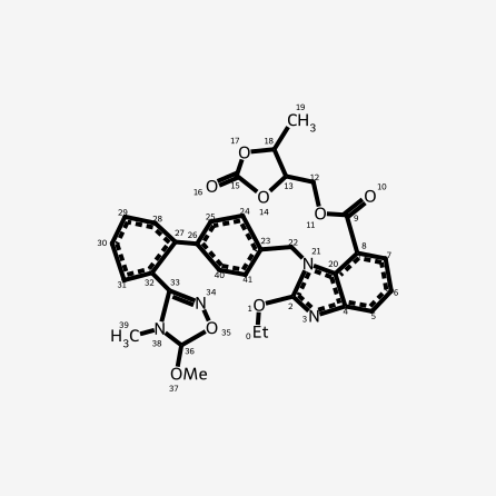 CCOc1nc2cccc(C(=O)OCC3OC(=O)OC3C)c2n1Cc1ccc(-c2ccccc2C2=NOC(OC)N2C)cc1